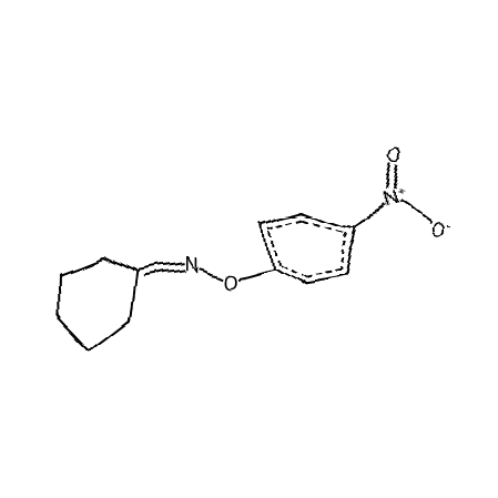 O=[N+]([O-])c1ccc(ON=C2CCCCC2)cc1